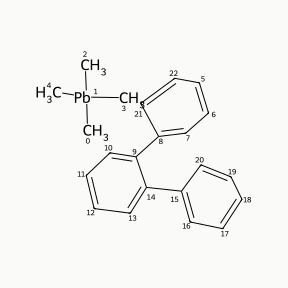 [CH3][Pb]([CH3])([CH3])[CH3].c1ccc(-c2ccccc2-c2ccccc2)cc1